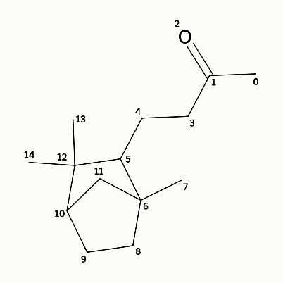 CC(=O)CCC1C2(C)CCC(C2)C1(C)C